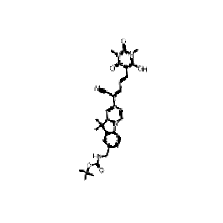 Cn1c(O)c(/C=C/C=C(\C#N)C2=CC3N(C=C2)c2ccc(CNC(=O)OC(C)(C)C)cc2C3(C)C)c(=O)n(C)c1=O